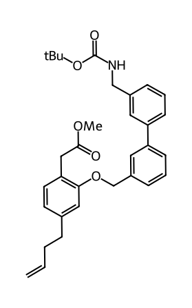 C=CCCc1ccc(CC(=O)OC)c(OCc2cccc(-c3cccc(CNC(=O)OC(C)(C)C)c3)c2)c1